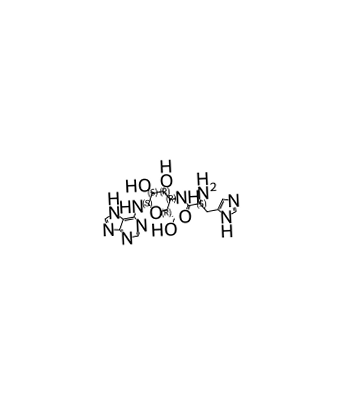 N[C@@H](Cc1cnc[nH]1)C(=O)N[C@@H]1[C@@H](O)[C@H](O)[C@@H](Nc2ncnc3nc[nH]c23)O[C@H]1CO